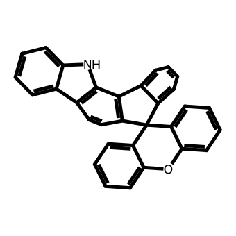 c1ccc2c(c1)Oc1ccccc1C21c2ccccc2-c2c1ccc1c2[nH]c2ccccc21